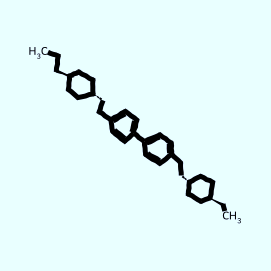 CCC[C@H]1CC[C@H](CCc2ccc(-c3ccc(CC[C@H]4CC[C@H](CC)CC4)cc3)cc2)CC1